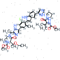 CCO[C@H](C)[C@H](NC(=O)OC)C(=O)N(CC)[C@@H](C)c1ncc(-c2cc(C)c(-c3cc4cc(-c5cnc([C@@H]6CCCN6C(=O)[C@@H](NC(=O)OC)C(C)C)[nH]5)ccc4[nH]3)c(F)c2)[nH]1